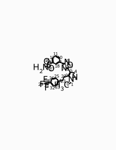 CCn1ncc(-c2nc(-c3cccc(S(N)(=O)=O)c3)no2)c1CCc1ccc(C(F)(F)F)cc1